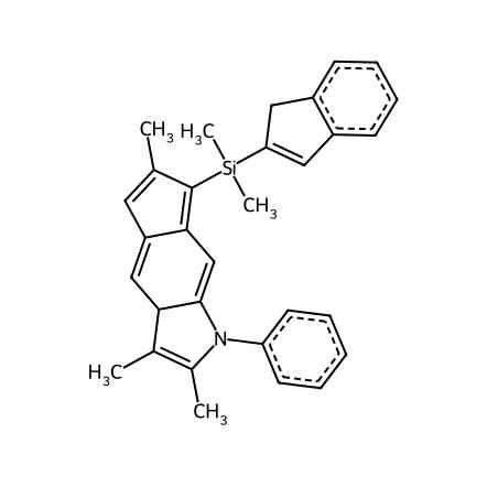 CC1=CC2=CC3C(=CC2=C1[Si](C)(C)C1=Cc2ccccc2C1)N(c1ccccc1)C(C)=C3C